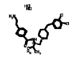 CC(C)[C@H](CN1CCC(Cc2ccc(Cl)c(Cl)c2)CC1)NC(=O)c1ccc(CCN)cc1.Cl.Cl